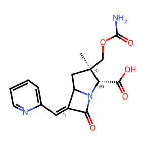 C[C@@]1(COC(N)=O)CC2/C(=C\c3ccccn3)C(=O)N2[C@H]1C(=O)O